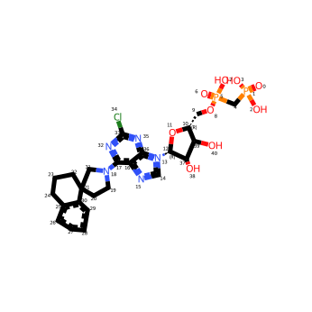 O=P(O)(O)CP(=O)(O)OC[C@H]1O[C@@H](n2cnc3c(N4CCC5(CCCc6ccccc65)C4)nc(Cl)nc32)C(O)C1O